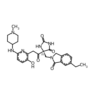 CCc1ccc2c(c1)C(=O)N(C[C@@]1(C(=O)Cc3nc(NC4CCN(C)CC4)ccc3O)NC(=O)NC1=O)C2